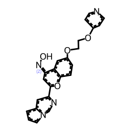 O/N=c1/cc(-c2cc3cccn3cn2)oc2ccc(OCCOc3ccncc3)cc12